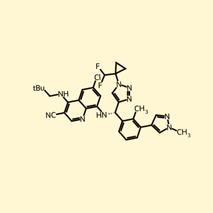 Cc1c(-c2cnn(C)c2)cccc1[C@H](Nc1cc(Cl)cc2c(NCC(C)(C)C)c(C#N)cnc12)c1cn(C2(C(F)F)CC2)nn1